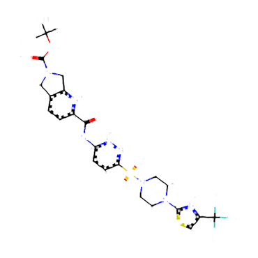 CC(C)(C)OC(=O)N1Cc2ccc(C(=O)Nc3ccc(S(=O)(=O)N4CCN(c5nc(C(F)(F)F)cs5)CC4)nn3)nc2C1